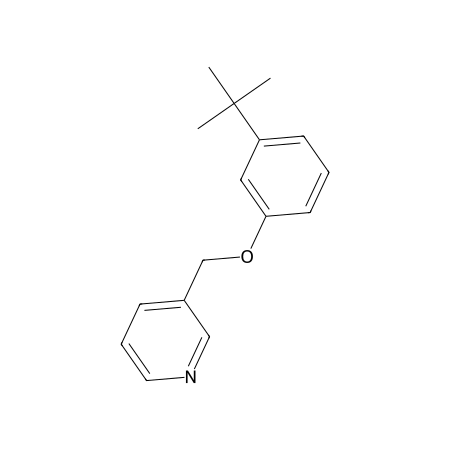 CC(C)(C)c1cccc(OCc2cccnc2)c1